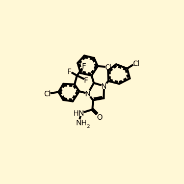 NNC(=O)C1=CN(c2ccc(Cl)cc2)C(c2ccccc2Cl)N1c1ccc(Cl)cc1C(F)(F)F